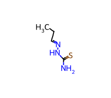 CCC=NNC(N)=S